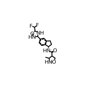 CC1NOCC1C(=O)N[C@@H]1CCc2cc(C3NOC(C(F)F)N3)ccc21